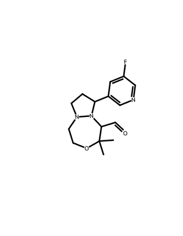 CC1(C)OCCN2CCC(c3cncc(F)c3)N2C1C=O